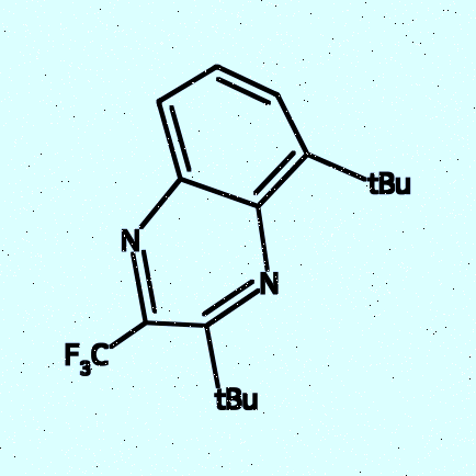 CC(C)(C)c1nc2c(C(C)(C)C)cccc2nc1C(F)(F)F